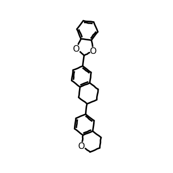 c1ccc2c(c1)OC(c1ccc3c(c1)CCC(c1ccc4c(c1)CCCO4)C3)O2